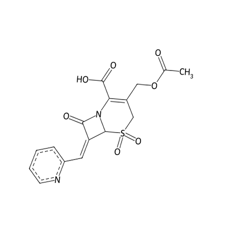 CC(=O)OCC1=C(C(=O)O)N2C(=O)C(=Cc3ccccn3)C2S(=O)(=O)C1